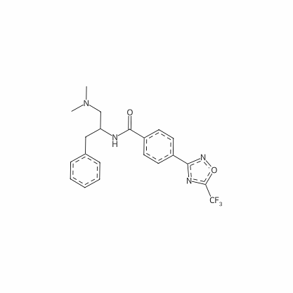 CN(C)CC(Cc1ccccc1)NC(=O)c1ccc(-c2noc(C(F)(F)F)n2)cc1